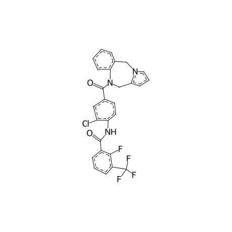 O=C(Nc1ccc(C(=O)N2Cc3cccn3Cc3ccccc32)cc1Cl)c1cccc(C(F)(F)F)c1F